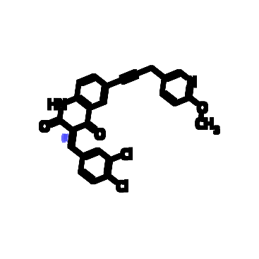 COc1ccc(CC#Cc2ccc3c(c2)C(=O)/C(=C\c2ccc(Cl)c(Cl)c2)C(=O)N3)cn1